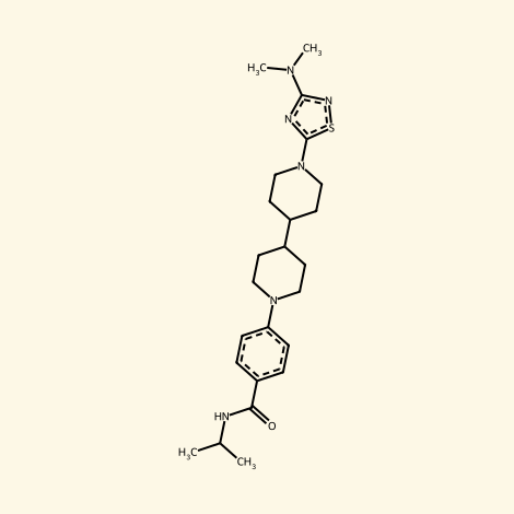 CC(C)NC(=O)c1ccc(N2CCC(C3CCN(c4nc(N(C)C)ns4)CC3)CC2)cc1